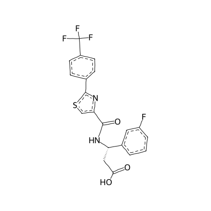 O=C(O)C[C@H](NC(=O)c1csc(-c2ccc(C(F)(F)F)cc2)n1)c1cccc(F)c1